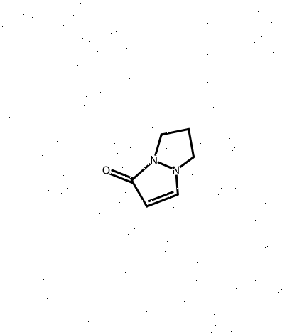 O=c1ccn2n1CCC2